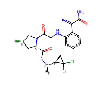 C[C@@H](NC(=O)[C@@H]1C[C@@H](F)CN1C(=O)CNc1ccccc1C(=N)C(N)=O)[C@H]1CC1(Cl)Cl